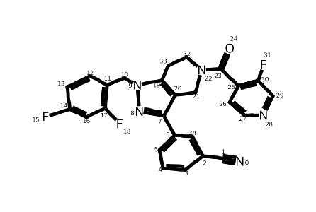 N#Cc1cccc(-c2nn(Cc3ccc(F)cc3F)c3c2CN(C(=O)c2ccncc2F)CC3)c1